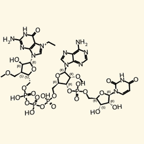 CC[n+]1cn([C@@H]2O[C@H](COP(=O)(O)OP(=O)(O)OP(=O)(O)OC[C@H]3O[C@@H](n4cnc5c(N)ncnc54)[C@H](OC)[C@@H]3OP(=O)(O)OC[C@H]3O[C@@H](n4ccc(=O)[nH]c4=O)[C@H](O)[C@@H]3O)[C@@H](COC)[C@H]2O)c2nc(N)[nH]c(=O)c21